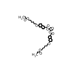 C=CC(=O)OCCCCCCOc1ccc2cc(C(=O)OC3COC[C@@H]3OC(=O)c3ccc4cc(OCCCCCCOC(=O)C=C)ccc4c3)ccc2c1